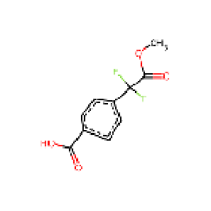 COC(=O)C(F)(F)c1ccc(C(=O)O)cc1